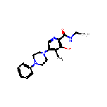 Cc1c(N2CCN(c3ccccc3)CC2)cnc(C(=O)NCC(=O)O)c1O